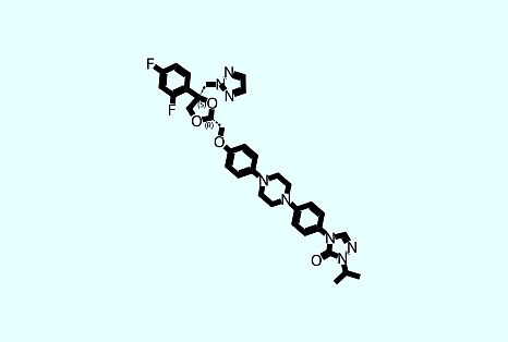 CC(C)n1ncn(-c2ccc(N3CCN(c4ccc(OC[C@@H]5OC[C@@](Cn6nccn6)(c6ccc(F)cc6F)O5)cc4)CC3)cc2)c1=O